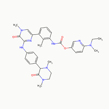 CCN(C)c1ccc(OC(=O)Nc2cccc(-c3cn(C)c(=O)c(Nc4ccc(C5C(=O)N(C)CCN5C)cc4)n3)c2C)cn1